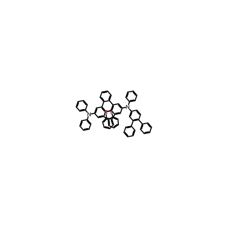 c1ccc(-c2ccc(N(c3ccccc3)c3cc(-c4ccccc4-c4cc(N(c5ccccc5)c5ccccc5)cc5c4sc4ccccc45)c4sc5ccccc5c4c3)cc2-c2ccccc2)cc1